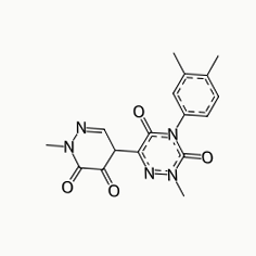 Cc1ccc(-n2c(=O)c(C3C=NN(C)C(=O)C3=O)nn(C)c2=O)cc1C